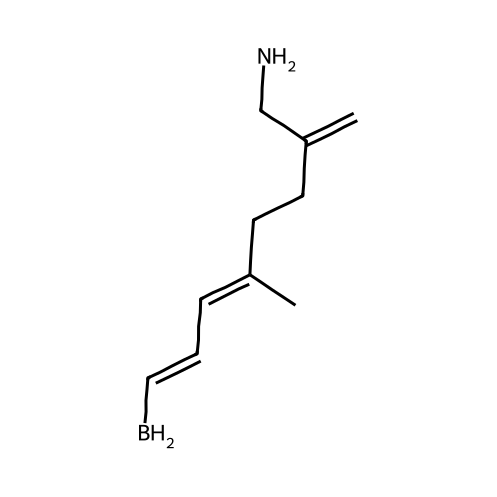 B/C=C/C=C(\C)CCC(=C)CN